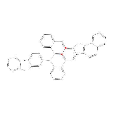 c1ccc(N(c2ccc3c(c2)oc2ccccc23)c2cccc3ccccc23)c(-c2ccc3oc4c5ccccc5ccc4c3c2)c1